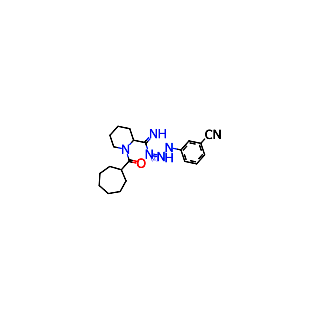 N#Cc1cccc(N/N=N\C(=N)C2CCCCN2C(=O)C2CCCCCC2)c1